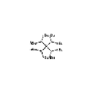 CCCCN(CCCC)[P+](N(CCCC)CCCC)(N(CCCC)CCCC)N(CCCC)CCCC.[I-]